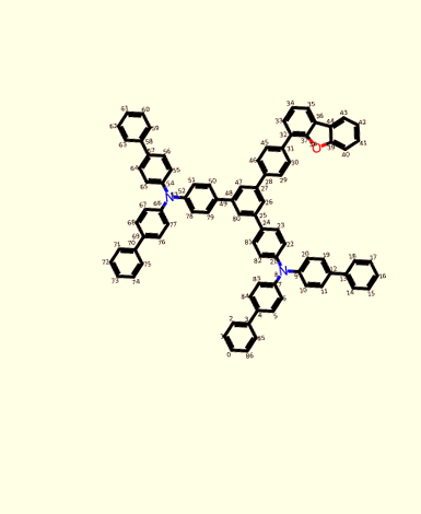 c1ccc(-c2ccc(N(c3ccc(-c4ccccc4)cc3)c3ccc(-c4cc(-c5ccc(-c6cccc7c6oc6ccccc67)cc5)cc(-c5ccc(N(c6ccc(-c7ccccc7)cc6)c6ccc(-c7ccccc7)cc6)cc5)c4)cc3)cc2)cc1